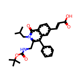 CC(C)Cn1c(CNC(=O)OC(C)(C)C)c(-c2ccccc2)c2cc(/C=C/C(=O)O)ccc2c1=O